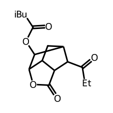 CCC(=O)C1C2CC3C(OC(=O)C31)C2OC(=O)C(C)CC